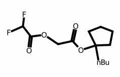 CCCCC1(OC(=O)COC(=O)C(F)F)CCCC1